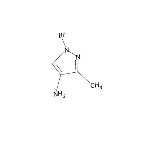 Cc1nn(Br)cc1N